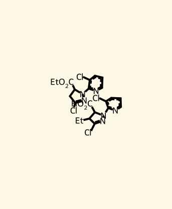 CCC1C(Cl)=NN(c2ncccc2Cl)C1C(=O)O.CCOC(=O)C1CC(Cl)=NN1c1ncccc1Cl